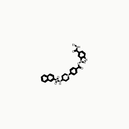 CCNC(=O)c1ccc2nnn(OC(=O)c3ccc(N4CCC(NS(=O)(=O)c5ccc6ccccc6c5)CC4)cc3)c2c1